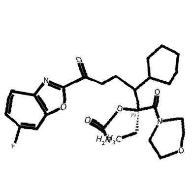 CC[C@@](OC(N)=O)(C(=O)N1CCOCC1)C(CCC(=O)c1nc2ccc(F)cc2o1)C1CCCCC1